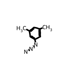 Cc1cc(C)cc(N=[N+]=[N-])c1